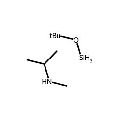 CC(C)(C)O[SiH3].CNC(C)C